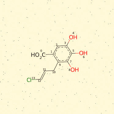 O=C(O)c1cc(O)c(O)c(O)c1CC=CCl